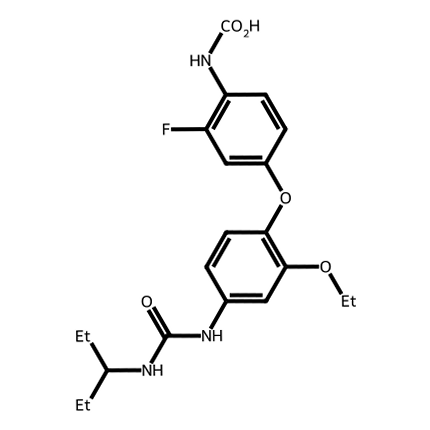 CCOc1cc(NC(=O)NC(CC)CC)ccc1Oc1ccc(NC(=O)O)c(F)c1